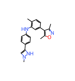 Cc1ccc(-c2c(C)noc2C)cc1Nc1ccc(-c2cn(C)[nH]2)cc1